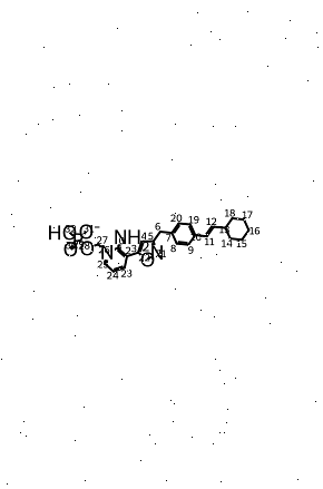 Nc1c(-c2cc(Cc3ccc(/C=C/C4CCCCC4)cc3)no2)ccc[n+]1COP(=O)([O-])O